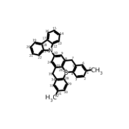 Cc1ccc2c(c1)Cc1cc(-n3c4ccccc4c4ccccc43)cc3c1B2c1ccc(C)cc1C3